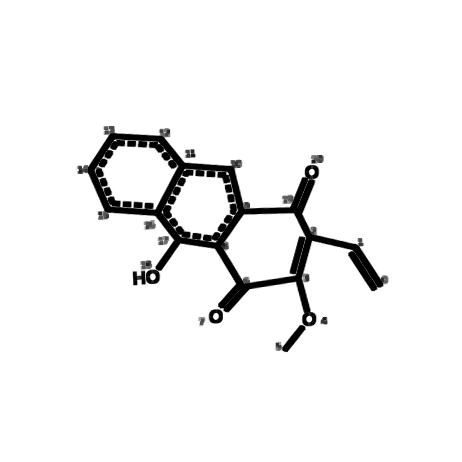 C=CC1=C(OC)C(=O)c2c(cc3ccccc3c2O)C1=O